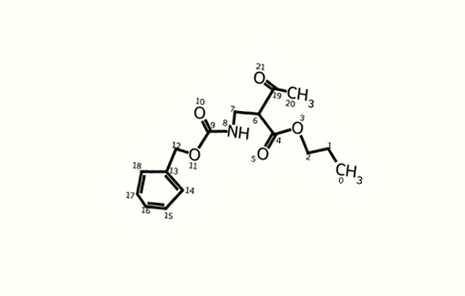 CCCOC(=O)C(CNC(=O)OCc1ccccc1)C(C)=O